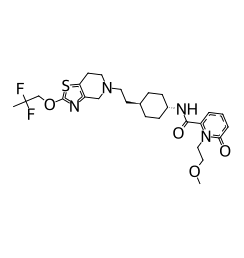 COCCn1c(C(=O)N[C@H]2CC[C@H](CCN3CCc4sc(OCC(C)(F)F)nc4C3)CC2)cccc1=O